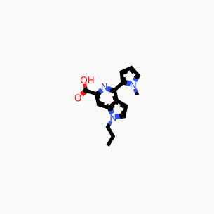 CCCn1ccc2c(-c3cccn3C)nc(C(=O)O)cc21